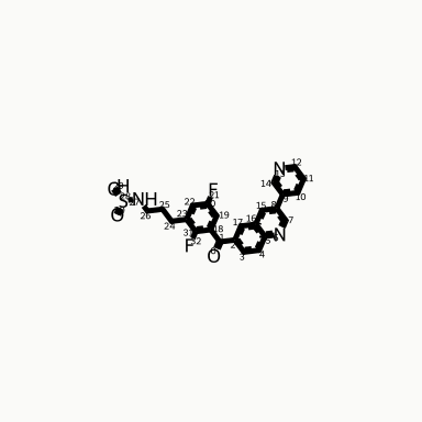 O=C(c1ccc2ncc(-c3cccnc3)cc2c1)c1cc(F)cc(CCCN[SH](=O)=O)c1F